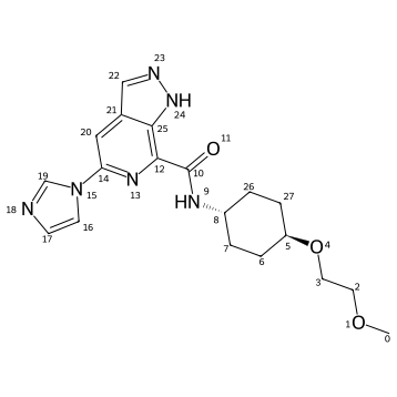 COCCO[C@H]1CC[C@H](NC(=O)c2nc(-n3ccnc3)cc3cn[nH]c23)CC1